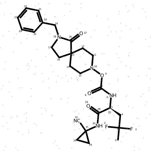 CC(F)(F)C[C@H](NC(=O)ON1CCC2(CC1)CCN(Cc1ccccc1)C2=O)C(=O)NC1(C#N)CC1